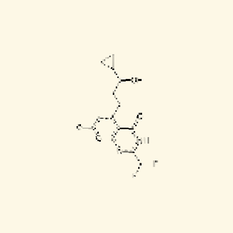 O=c1cc(CCC(O)C2CC2)c2c(=O)[nH]c(C(F)F)nc2o1